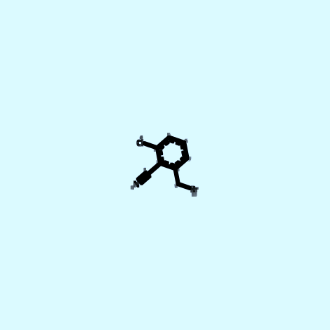 N#Cc1c(Cl)c[c]cc1CBr